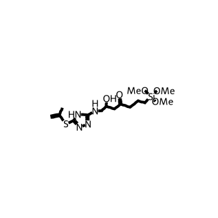 C=C(C)Sc1nnc(NCC(O)CC(=O)CCC[Si](OC)(OC)OC)[nH]1